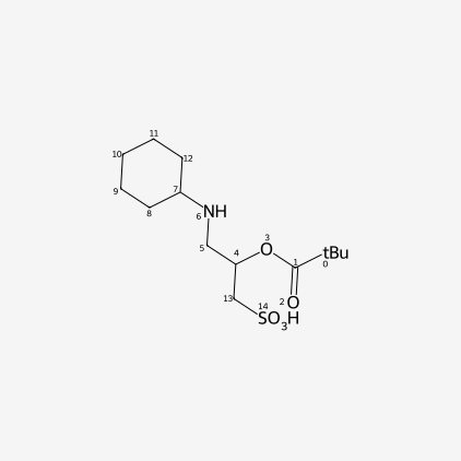 CC(C)(C)C(=O)OC(CNC1CCCCC1)CS(=O)(=O)O